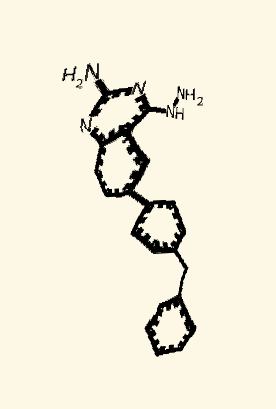 NNc1nc(N)nc2ccc(-c3ccc(Cc4ccccc4)cc3)cc12